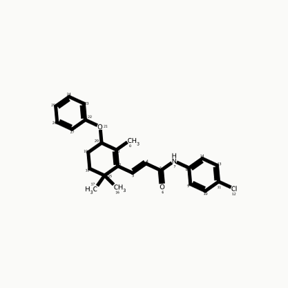 CC1=C(C=CC(=O)Nc2ccc(Cl)cc2)C(C)(C)CCC1Oc1ccccc1